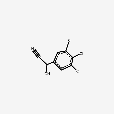 N#CC(O)c1cc(Cl)c(Cl)c(Cl)c1